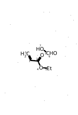 C=CC(=O)OCC.O=CO